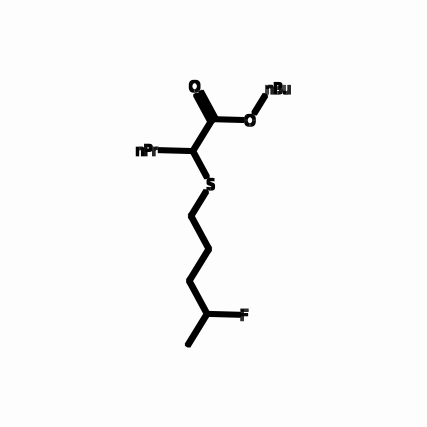 CCCCOC(=O)C(CCC)SCCCC(C)F